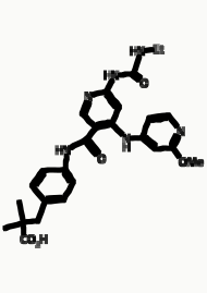 CCNC(=O)Nc1cc(Nc2ccnc(OC)c2)c(C(=O)Nc2ccc(CC(C)(C)C(=O)O)cc2)cn1